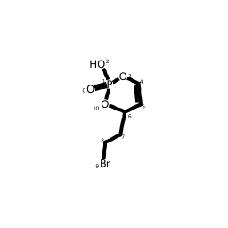 O=P1(O)OC=CC(CCBr)O1